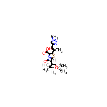 CC(=Cc1cn(C)nn1)C1S[C@@H]2[C@@H]([C@@H](CO[SiH](C)C)C(C)(C)C)C(=O)N2C1C(=O)O